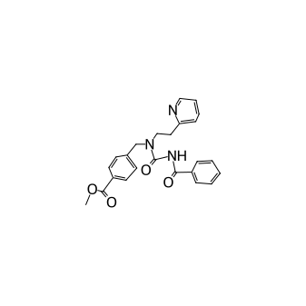 COC(=O)c1ccc(CN(CCc2ccccn2)C(=O)NC(=O)c2ccccc2)cc1